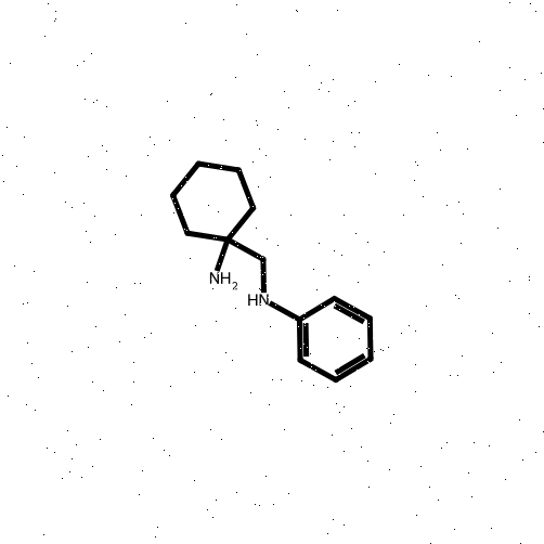 NC1(CNc2ccccc2)CCCCC1